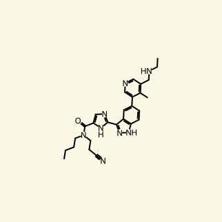 CCCCN(CCC#N)C(=O)c1cnc(-c2n[nH]c3ccc(-c4cncc(CNCC)c4C)cc23)[nH]1